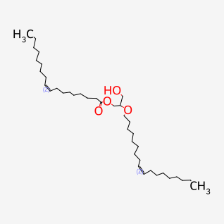 CCCCCCCC/C=C\CCCCCCCCOC(CO)COC(=O)CCCCCCC/C=C\CCCCCCCC